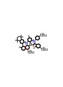 Cc1ccc(C)c(-c2cc3c(cc2N2c4ccc(C(C)(C)C)cc4B4c5sc6cc(C(C)(C)C)ccc6c5N(c5ccc(C(C)(C)C)cc5)c5cc(C)cc2c54)C(C)(C)CCC3(C)C)c1